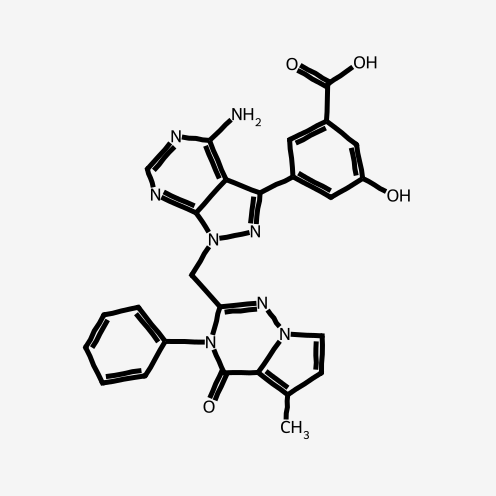 Cc1ccn2nc(Cn3nc(-c4cc(O)cc(C(=O)O)c4)c4c(N)ncnc43)n(-c3ccccc3)c(=O)c12